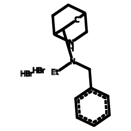 Br.Br.CCN(Cc1ccccc1)C1CC2CCC1NC2